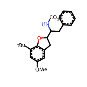 COc1cc2c(c(C(C)(C)C)c1)OC(C(Cc1ccccc1)NC(=O)O)C2